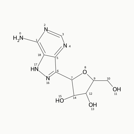 Nc1ncnc2c(C3OC(CO)C(O)C3O)n[nH]c12